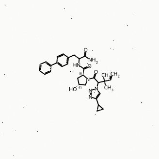 C=CC(C)(C)C(C(=O)N1C[C@H](O)C[C@H]1C(=O)NC(Cc1ccc(-c2ccccc2)cc1)C(N)=O)n1cc(C2CC2)nn1